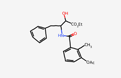 CCOC(=O)C(O)C(Cc1ccccc1)NC(=O)c1cccc(OC(C)=O)c1C